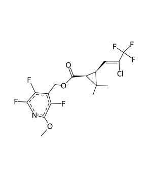 COc1nc(F)c(F)c(COC(=O)[C@H]2[C@@H](C=C(Cl)C(F)(F)F)C2(C)C)c1F